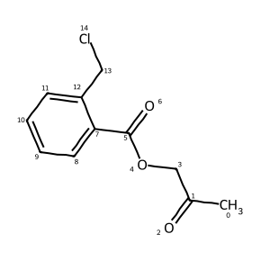 CC(=O)COC(=O)c1ccccc1CCl